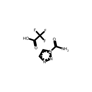 NC(=O)n1ccnn1.O=C(O)C(F)(F)F